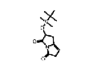 CC(C)(C)[Si](C)(C)OC1CC2=CCC(=O)N2C1=O